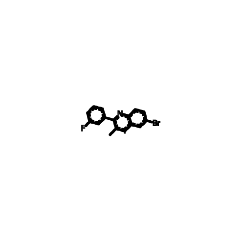 Cc1[c]c2cc(Br)ccc2nc1-c1cccc(F)c1